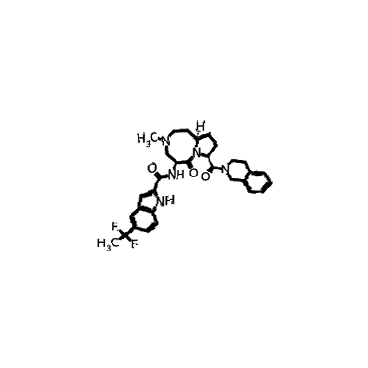 CN1CC[C@H]2CC[C@@H](C(=O)N3CCc4ccccc4C3)N2C(=O)[C@@H](NC(=O)c2cc3cc(C(C)(F)F)ccc3[nH]2)C1